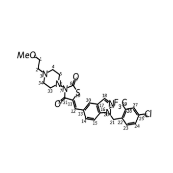 COCCN1CCN(N2C(=O)SC(=Cc3ccc4c(cnn4Cc4ccc(Cl)cc4C(F)(F)F)c3)C2=O)CC1